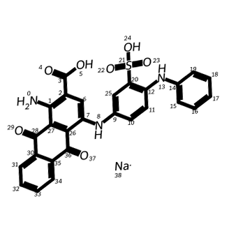 Nc1c(C(=O)O)cc(Nc2ccc(Nc3ccccc3)c(S(=O)(=O)O)c2)c2c1C(=O)c1ccccc1C2=O.[Na]